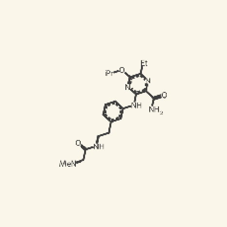 CCc1nc(C(N)=O)c(Nc2cccc(CCNC(=O)CNC)c2)nc1OC(C)C